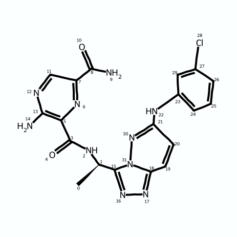 C[C@@H](NC(=O)c1nc(C(N)=O)cnc1N)c1nnc2ccc(Nc3cccc(Cl)c3)nn12